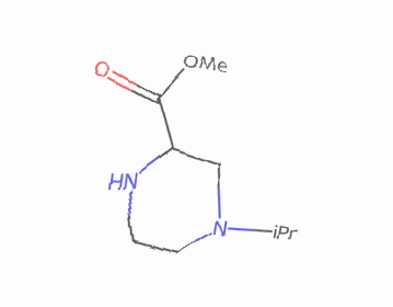 COC(=O)C1CN(C(C)C)CCN1